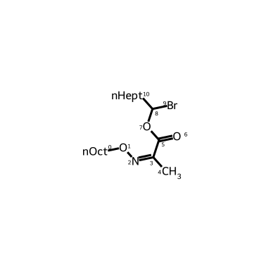 CCCCCCCCON=C(C)C(=O)OC(Br)CCCCCCC